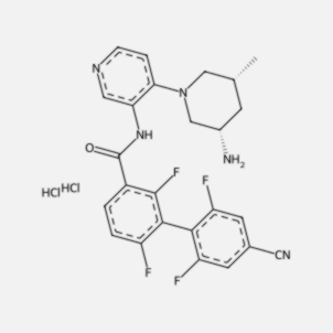 C[C@@H]1C[C@H](N)CN(c2ccncc2NC(=O)c2ccc(F)c(-c3c(F)cc(C#N)cc3F)c2F)C1.Cl.Cl